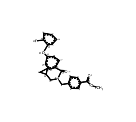 COC(=O)c1ccc(CN(CC2CC2)C(=O)c2ccc(Oc3ccccc3F)cc2)cc1